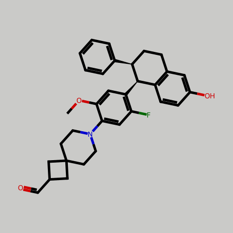 COc1cc([C@@H]2c3ccc(O)cc3CC[C@@H]2c2ccccc2)c(F)cc1N1CCC2(CC1)CC(C=O)C2